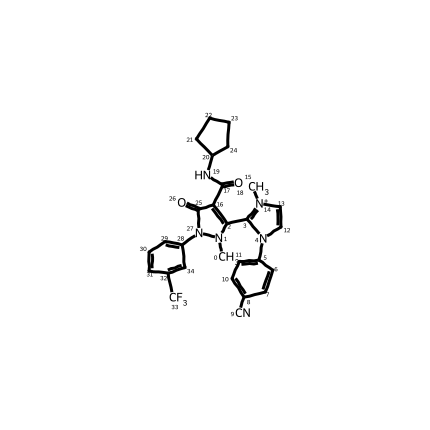 Cn1c(-c2n(-c3ccc(C#N)cc3)cc[n+]2C)c(C(=O)NC2CCCC2)c(=O)n1-c1cccc(C(F)(F)F)c1